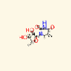 C=C1O[C@@H](n2cc(C)c(=O)[nH]c2=O)[C@H](O)[C@@H]1O